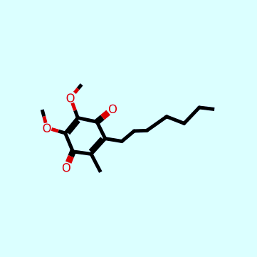 CCCCCCCC1=C(C)C(=O)C(OC)=C(OC)C1=O